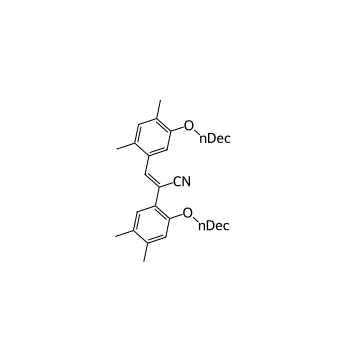 CCCCCCCCCCOc1cc(/C=C(\C#N)c2cc(C)c(C)cc2OCCCCCCCCCC)c(C)cc1C